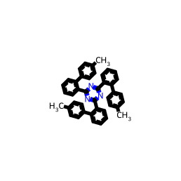 Cc1ccc(-c2ccccc2-c2nc(-c3ccccc3-c3ccc(C)cc3)nc(-c3ccccc3-c3ccc(C)cc3)n2)cc1